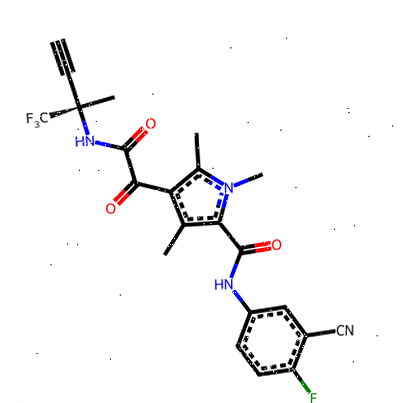 C#C[C@](C)(NC(=O)C(=O)c1c(C)c(C(=O)Nc2ccc(F)c(C#N)c2)n(C)c1C)C(F)(F)F